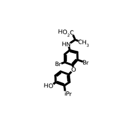 CC(Nc1cc(Br)c(Oc2ccc(O)c(C(C)C)c2)c(Br)c1)C(=O)O